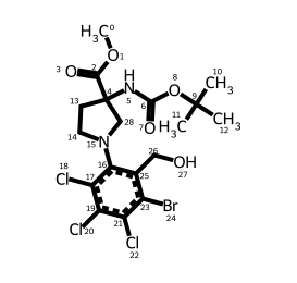 COC(=O)C1(NC(=O)OC(C)(C)C)CCN(c2c(Cl)c(Cl)c(Cl)c(Br)c2CO)C1